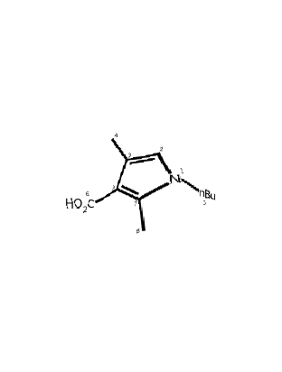 [CH2]CCCn1cc(C)c(C(=O)O)c1C